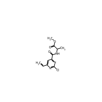 C=Cc1cc(C(=O)NC(C)C(=O)OC)nc(Cl)n1